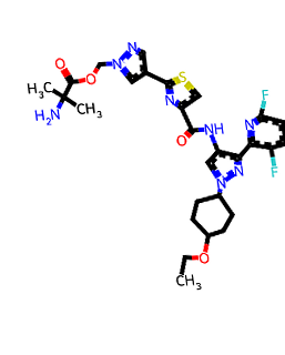 CCOC1CCC(n2cc(NC(=O)c3csc(-c4cnn(COC(=O)C(C)(C)N)c4)n3)c(-c3nc(F)ccc3F)n2)CC1